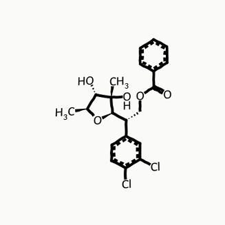 C[C@@H]1O[C@H]([C@H](COC(=O)c2ccccc2)c2ccc(Cl)c(Cl)c2)[C@@](C)(O)[C@H]1O